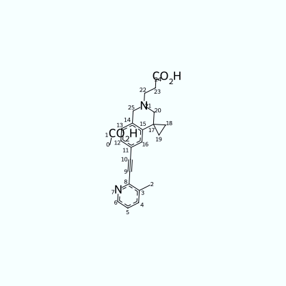 CC(=O)O.Cc1cccnc1C#Cc1ccc2c(c1)C1(CC1)CN(CCC(=O)O)C2